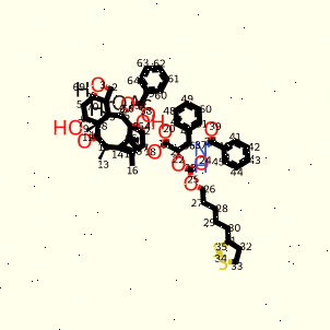 CC(=O)O[C@@]12CO[C@@H]1C[C@H](O)[C@@]1(C)C(=O)[C@H](C)C3=C(C)[C@@H](OC(=O)[C@H](OC(=O)OCCCCCC4CCSS4)[C@@H](NC(=O)c4ccccc4)c4ccccc4)C[C@@](O)([C@@H](OC(=O)c4ccccc4)[C@H]21)C3(C)C